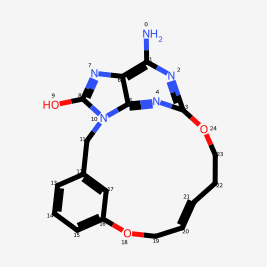 Nc1nc2nc3c1nc(O)n3Cc1cccc(c1)OC/C=C/CCO2